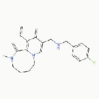 C=CC1=C2C(=C)N(C)CCCCN2C=C(CNCc2ccc(F)cc2)C1=C